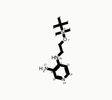 CC(C)(C)[Si](C)(C)OCCNc1ccncc1N